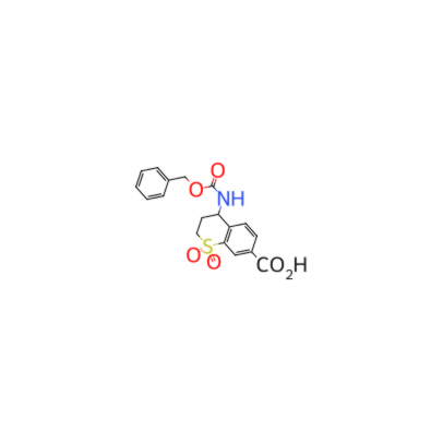 O=C(NC1CCS(=O)(=O)c2cc(C(=O)O)ccc21)OCc1ccccc1